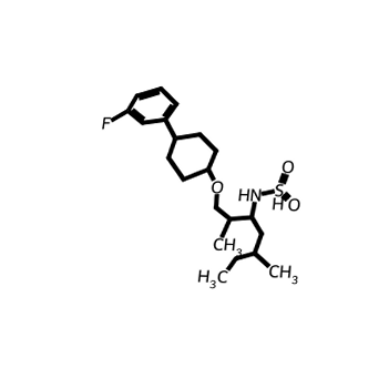 CCC(C)CC(N[SH](=O)=O)C(C)COC1CCC(c2cccc(F)c2)CC1